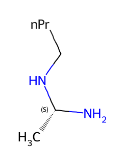 CCCCN[C@@H](C)N